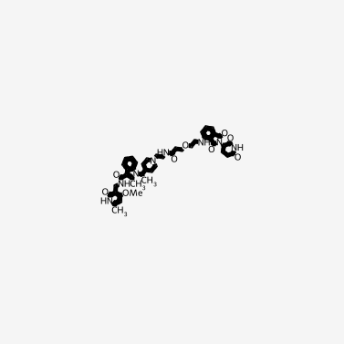 COc1cc(C)[nH]c(=O)c1CNC(=O)c1c(C)n(C(C)C2CCN(CCNC(=O)CCOCCNc3cccc4c3C(=O)N(C3CCC(=O)NC3=O)C4=O)CC2)c2ccccc12